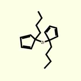 CCCC[C]1([Zr][C]2(CCCC)C=CC=C2)C=CC=C1